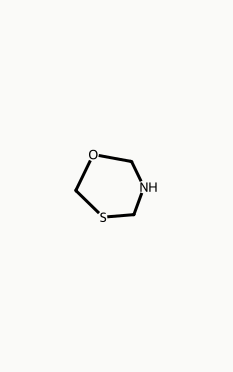 C1NCSCO1